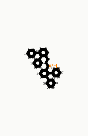 PC(CCc1cccc(-c2ccccc2)c1-c1ccccc1)c1cccc(-c2ccccc2)c1-c1ccccc1